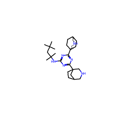 CC(C)(C)CC(C)(C)Nc1nc(C23CCC(CC2)CNC3)nc(C23CCC(CNC2)C3)n1